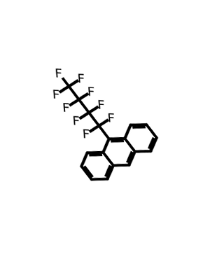 FC(F)(F)C(F)(F)C(F)(F)C(F)(F)c1c2ccccc2cc2ccccc12